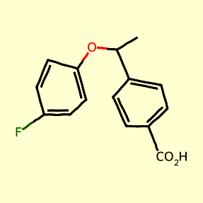 CC(Oc1ccc(F)cc1)c1ccc(C(=O)O)cc1